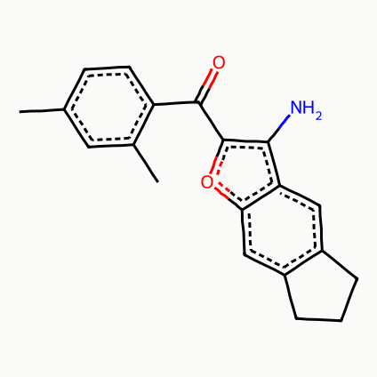 Cc1ccc(C(=O)c2oc3cc4c(cc3c2N)CCC4)c(C)c1